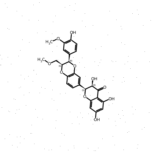 COC[C@@H]1Oc2ccc([C@@H]3Oc4cc(O)cc(O)c4C(=O)[C@@H]3O)cc2O[C@@H]1c1ccc(O)c(OC)c1